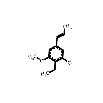 CC=Cc1cc(Cl)c(CC)c(OC)c1